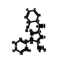 Nc1nc(NC2C=CC=CC2F)nn1-c1ccccn1